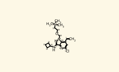 C=Cc1cc(Cl)nc2c(NC3CCC3)nn(COCC[Si](C)(C)C)c12